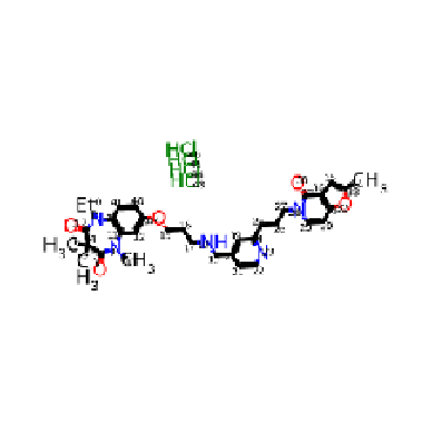 CCN1C(=O)C(C)(C)C(=O)N(C)c2cc(OCCCNCc3ccnc(CCCn4ccc5oc(C)cc5c4=O)c3)ccc21.Cl.Cl.Cl.Cl